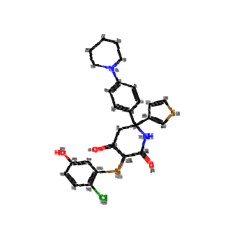 O=C1CC(c2ccc(N3CCCCC3)cc2)(c2ccsc2)NC(=O)C1Sc1cc(O)ccc1Cl